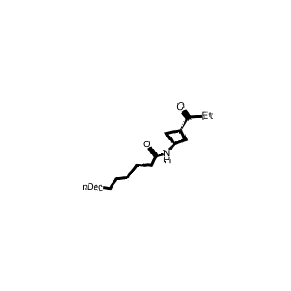 CCCCCCCCCCCCCCCC(=O)N[C@H]1C[C@@H](C(=O)CC)C1